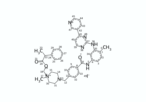 Cc1ccc(NC(=O)c2ccc(CN3CC[N+](C)(COC(=O)C(C)c4ccccc4)CC3)cc2)cc1Nc1nccc(-c2cccnc2)n1.[I-]